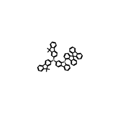 CC1(C)c2ccccc2-c2ccc(N(c3ccc4c(c3)C(C)(C)c3ccccc3-4)c3ccc4c5ccccc5n(-c5cccc6c5-c5ccccc5C65c6ccccc6-c6ccccc65)c4c3)cc21